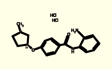 CN1CC[C@H](Oc2ccc(C(=O)Nc3ccccc3N)cc2)C1.Cl.Cl